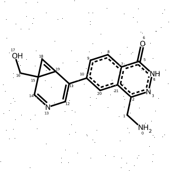 NCc1n[nH]c(=O)c2ccc(C3=CN=CC4(CO)C=C34)cc12